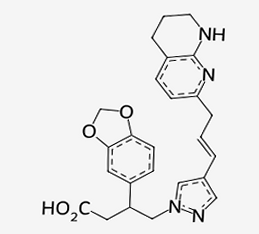 O=C(O)CC(Cn1cc(C=CCc2ccc3c(n2)NCCC3)cn1)c1ccc2c(c1)OCO2